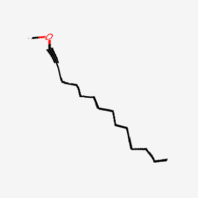 [CH2]OC#CCCCCCCCCCCCC